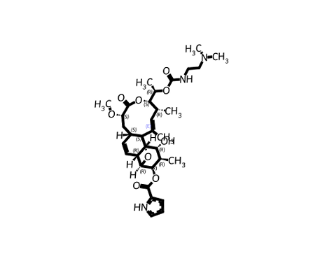 CO[C@H]1C[C@H]2C=C[C@H]3[C@H]4O[C@]2(/C(C)=C/[C@@H](C)[C@@H]([C@@H](C)OC(=O)NCCN(C)C)OC1=O)[C@@H]3[C@H](O)[C@@H](C)[C@H]4OC(=O)c1ccc[nH]1